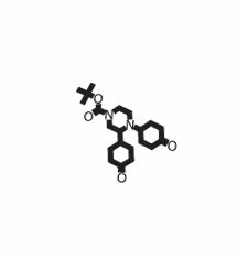 CC(C)(C)OC(=O)N1CCN(C2CCC(=O)CC2)C(C2CCC(=O)CC2)C1